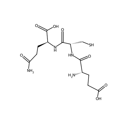 NC(=O)CC[C@H](NC(=O)[C@H](CS)NC(=O)[C@@H](N)CCC(=O)O)C(=O)O